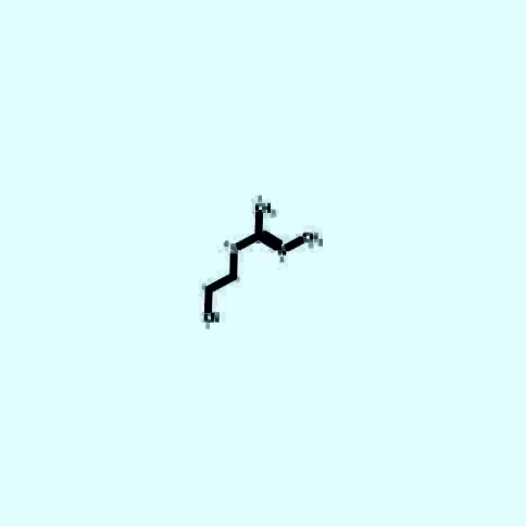 CN=C(C)SCCC#N